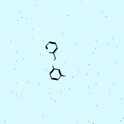 COc1[c]ccc(OCc2ccccn2)c1